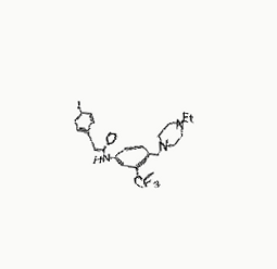 CCN1CCN(Cc2ccc(NC(=O)Cc3ccc(I)cc3)cc2C(F)(F)F)CC1